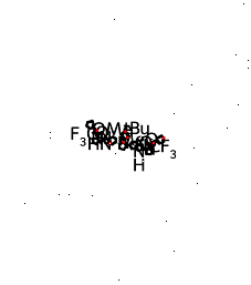 CO[C@@](C(=O)N1CCC[C@H]1c1nc2ccc([C@H]3CC[C@H](c4ccc5nc([C@@H]6CCCN6C(=O)[C@](OC)(c6ccccc6)C(F)(F)F)[nH]c5c4)N3c3ccc(C(C)(C)C)cc3)cc2[nH]1)(c1ccccc1)C(F)(F)F